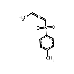 CC=C=CS(=O)(=O)c1ccc(C)cc1